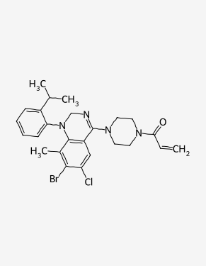 C=CC(=O)N1CCN(C2=NCN(c3ccccc3C(C)C)c3c2cc(Cl)c(Br)c3C)CC1